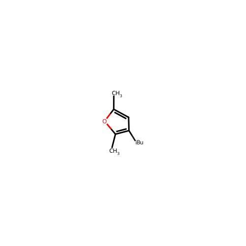 CCC(C)c1cc(C)oc1C